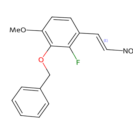 COc1ccc(/C=C/[N+](=O)[O-])c(F)c1OCc1ccccc1